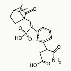 CC1(C)C2CCC1(CN(c1[c]c(C(CC(=O)O)C(N)=O)ccc1)S(=O)(=O)O)C(=O)C2